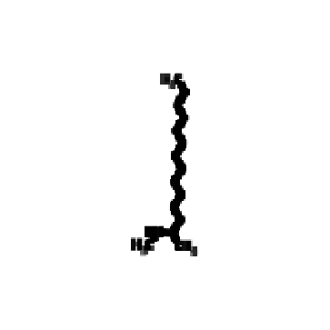 CCCCCCCCCCCCC(C)NC